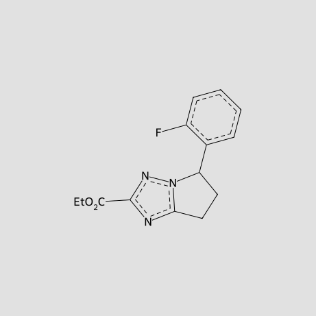 CCOC(=O)c1nc2n(n1)C(c1ccccc1F)CC2